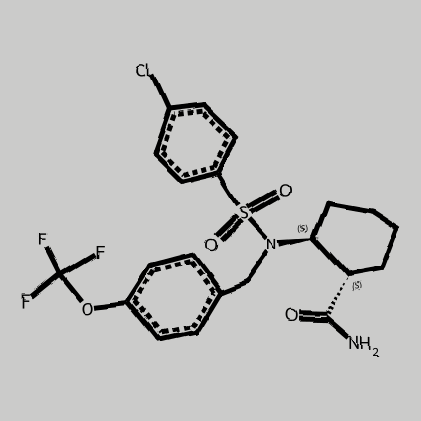 NC(=O)[C@H]1CCCC[C@@H]1N(Cc1ccc(OC(F)(F)F)cc1)S(=O)(=O)c1ccc(Cl)cc1